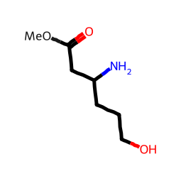 COC(=O)CC(N)CCCO